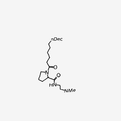 CCCCCCCCCCCCCCCC(=O)N1CCCC1C(=O)NCCNC